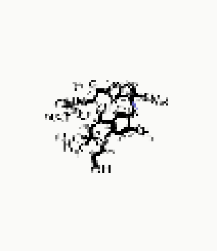 CCCCS(=O)(=O)NCC(C)c1nc2n(n1)N=C(SC)/C2=N/c1cc2c(cc1C)N(CCO)C(C)(C)CC2C